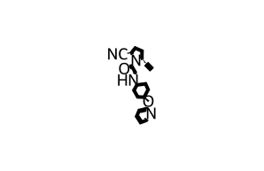 C#C[C@H]1CC[C@@H](C#N)N1C(=O)CN[C@H]1CC[C@H](Oc2ccccn2)CC1